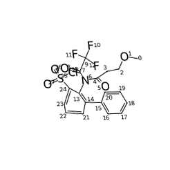 COCCC(=O)N(C(=O)C(F)(F)F)c1c(-c2ccccc2)cccc1S(=O)(=O)Cl